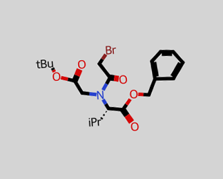 CC(C)[C@@H](C(=O)OCc1ccccc1)N(CC(=O)OC(C)(C)C)C(=O)CBr